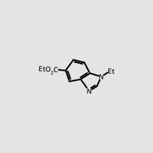 CCOC(=O)c1ccc2c(c1)ncn2CC